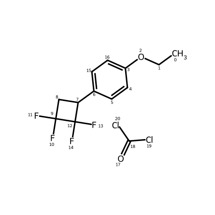 CCOc1ccc(C2CC(F)(F)C2(F)F)cc1.O=C(Cl)Cl